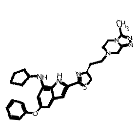 Cc1nnc2n1CCN(CC[C@H]1CSC(c3cc4cc(Oc5ccccc5)cc(NC5CCCC5)c4[nH]3)=N1)C2